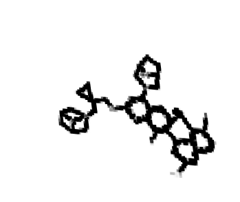 C#Cc1c(F)ccc2cc(O)cc(-c3c(F)cc4c(N5CC6CCC(C5)N6)nc(OCC5(CN6CC7CC(C6)N7C)CC5)nc4c3F)c12